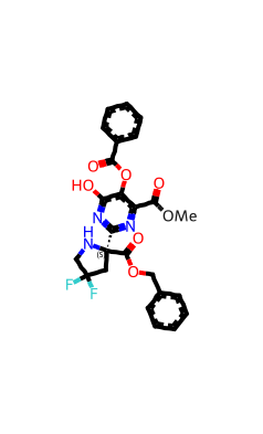 COC(=O)c1nc([C@]2(C(=O)OCc3ccccc3)CC(F)(F)CN2)nc(O)c1OC(=O)c1ccccc1